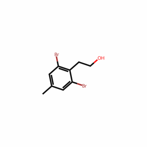 Cc1cc(Br)c(CCO)c(Br)c1